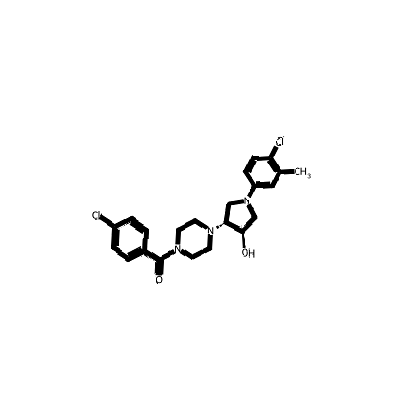 Cc1cc(N2C[C@@H](O)[C@H](N3CCN(C(=O)c4ccc(Cl)cc4)CC3)C2)ccc1Cl